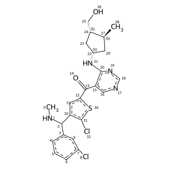 CNC(c1cccc(Cl)c1)c1cc(C(=O)c2cncnc2N[C@@H]2C[C@H](CO)[C@@H](C)C2)sc1Cl